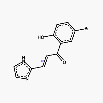 O=C(/C=C/c1ncc[nH]1)c1cc(Br)ccc1O